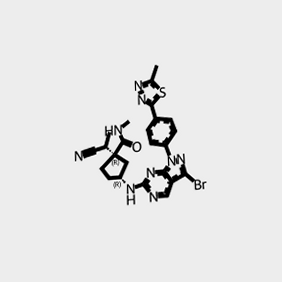 CNC(=O)[C@]1(C(C)C#N)CC[C@@H](Nc2ncc3c(Br)nn(-c4ccc(-c5nnc(C)s5)cc4)c3n2)C1